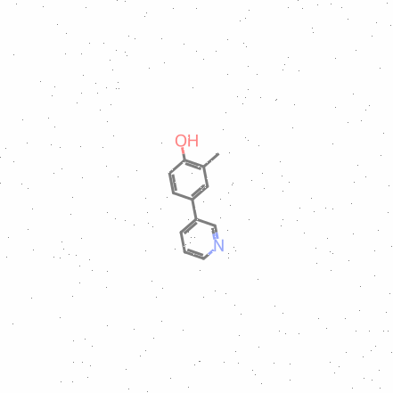 Cc1cc(-c2cccnc2)ccc1O